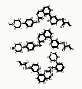 C=CC(=O)Nc1ccnc(-c2cccc3cnc(Nc4ccc(N5CCN(C)CC5)cc4)nc23)c1.C=CC(=O)Nc1ccnc(-c2cccc3cnc(Nc4ccc(N5CCNCC5)cc4)nc23)c1.C=CC(=O)Nc1ccnc(-c2cccc3cnc(Nc4ccccc4N4CCOCC4)nc23)c1